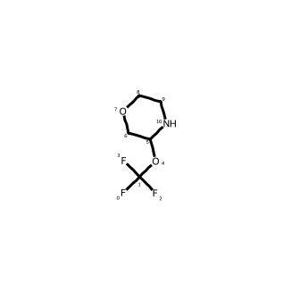 FC(F)(F)OC1CO[CH]CN1